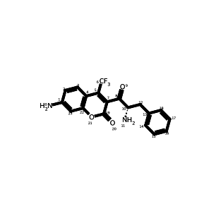 Nc1ccc2c(C(F)(F)F)c(C(=O)[C@@H](N)Cc3ccccc3)c(=O)oc2c1